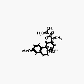 COc1ccc2c(c1)CCN1CCC(N(C)S(=O)(=O)N(C)C)CC21.Cl